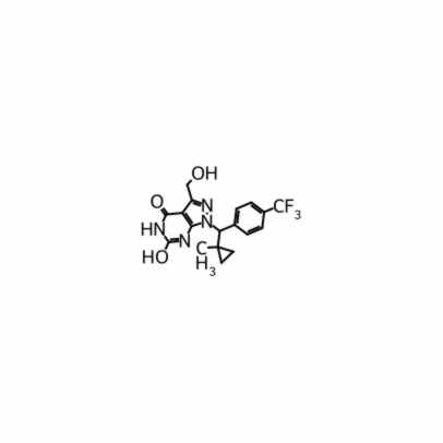 CC1(C(c2ccc(C(F)(F)F)cc2)n2nc(CO)c3c(=O)[nH]c(O)nc32)CC1